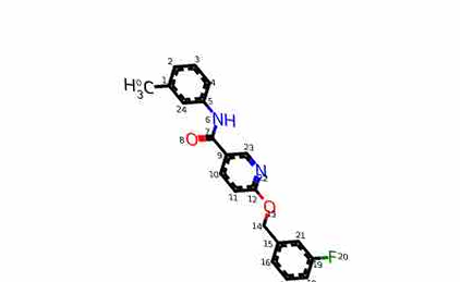 Cc1cccc(NC(=O)c2ccc(OCc3cccc(F)c3)nc2)c1